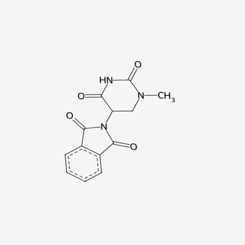 CN1CC(N2C(=O)c3ccccc3C2=O)C(=O)NC1=O